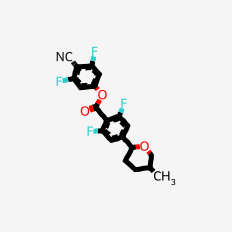 CC1CCC(c2cc(F)c(C(=O)Oc3cc(F)c(C#N)c(F)c3)c(F)c2)OC1